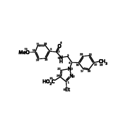 CCc1nn(C(CNC(=O)c2ccc(OC)cc2)c2ccc(C)cc2)cc1C(=O)O